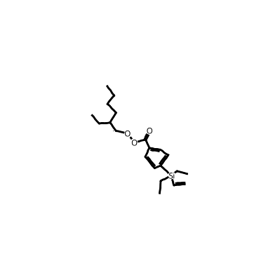 C=C[Si](CC)(CC)c1ccc(C(=O)OO[CH]C(CC)CCCC)cc1